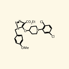 CCOC(=O)c1nnn(Cc2ccc(OC)cc2)c1OC1CCN(c2cc(Cl)ccc2Cl)CC1